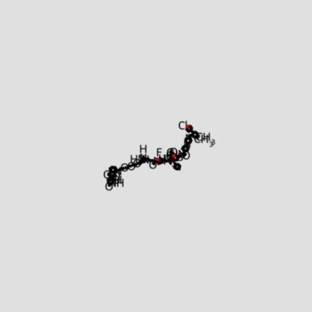 CC1(C)CCC(c2ccc(Cl)cc2)=C(CN2CCN(c3ccc(C(=O)NSc4ccc(N[C@H](CCN5CCN(C(=O)CCCN6C=C(COCCOCCOCCNc7cccc8c7C(=O)N(C7CCC(=O)NC7=O)C8=O)NN6)CC5)CSc5ccccc5)c(S(=O)(=O)C(F)(F)F)c4)cc3)CC2)C1